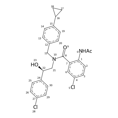 CC(=O)Nc1ccc(Cl)cc1C(=O)N(Cc1ccc(C2CC2)cc1)C[C@H](O)c1ccc(Cl)cc1